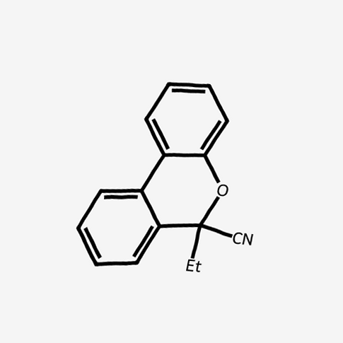 CCC1(C#N)Oc2ccccc2-c2ccccc21